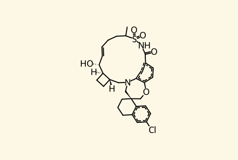 CC1CC/C=C/[C@@H](O)[C@@H]2CC[C@H]2CN2C[C@@]3(CCCc4cc(Cl)ccc43)COc3ccc(cc32)C(=O)NS1(=O)=O